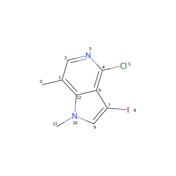 Cc1cnc(Cl)c2c(I)cn(C)c12